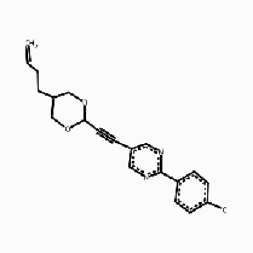 C=CCCC1COC(C#Cc2cnc(-c3ccc(Cl)cc3)nc2)OC1